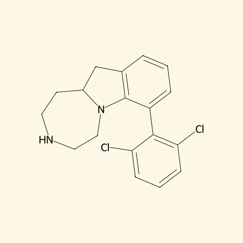 Clc1cccc(Cl)c1-c1cccc2c1N1CCNCCC1C2